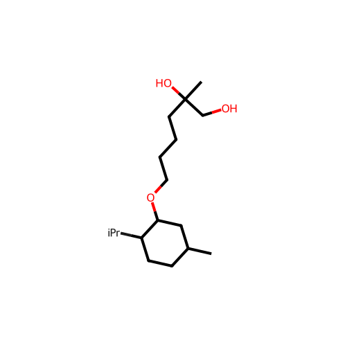 CC1CCC(C(C)C)C(OCCCCC(C)(O)CO)C1